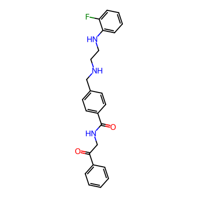 O=C(CNC(=O)c1ccc(CNCCNc2ccccc2F)cc1)c1ccccc1